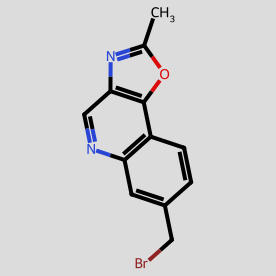 Cc1nc2cnc3cc(CBr)ccc3c2o1